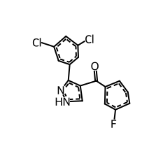 O=C(c1cccc(F)c1)c1c[nH]nc1-c1cc(Cl)cc(Cl)c1